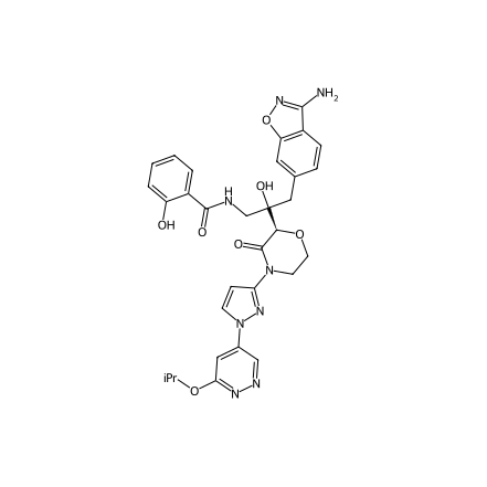 CC(C)Oc1cc(-n2ccc(N3CCO[C@H](C(O)(CNC(=O)c4ccccc4O)Cc4ccc5c(N)noc5c4)C3=O)n2)cnn1